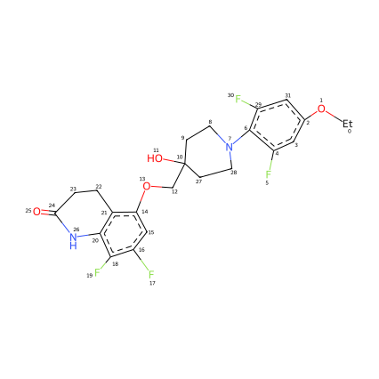 CCOc1cc(F)c(N2CCC(O)(COc3cc(F)c(F)c4c3CCC(=O)N4)CC2)c(F)c1